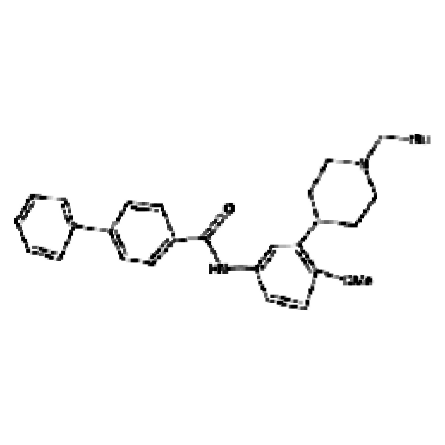 COc1ccc(NC(=O)c2ccc(-c3ccccc3)cc2)cc1C1CCN(CC(C)(C)C)CC1